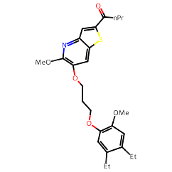 CCCC(=O)c1cc2nc(OC)c(OCCCOc3cc(CC)c(CC)cc3OC)cc2s1